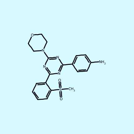 CS(=O)(=O)c1ccccc1-c1nc(-c2ccc(N)cc2)nc(N2CCOCC2)n1